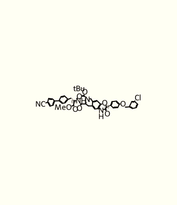 COC(=O)[C@H](Cc1ccc(-c2ccc(C#N)cc2)cc1)NC(=O)C1Cc2cc3c(cc2CN1C(=O)OC(C)(C)C)O[C@@H](c1ccc(OCc2cccc(Cl)c2)cc1)C(=O)N3